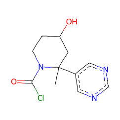 CC1(c2cncnc2)CC(O)CCN1C(=O)Cl